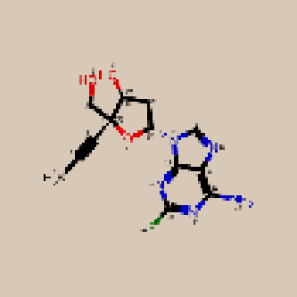 BC#C[C@]1(CO)O[C@@H](n2cnc3c(N)nc(F)nc32)C[C@@H]1O